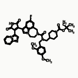 COc1ccc(CN(CC2CCN(C(=O)OC(C)(C)C)CC2)C(=O)N2CCn3cc(C4=C(c5cnc6ccccn56)C(=O)NC4=O)c4cc(F)cc(c43)C2)c(OC)c1